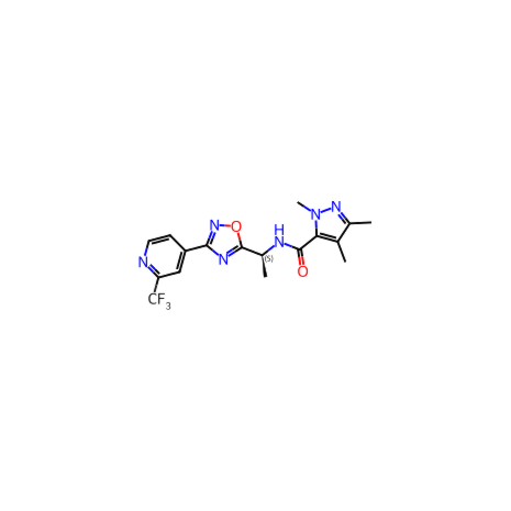 Cc1nn(C)c(C(=O)N[C@@H](C)c2nc(-c3ccnc(C(F)(F)F)c3)no2)c1C